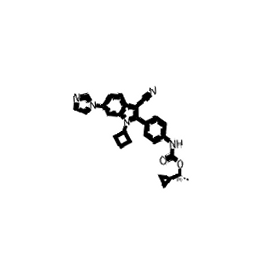 C[C@@H](OC(=O)Nc1ccc(-c2c(C#N)c3ccc(-n4ccnc4)cc3n2C2CCC2)cc1)C1CC1